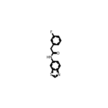 O=C(Cc1cccc(F)c1)Nc1ccc2ncsc2c1